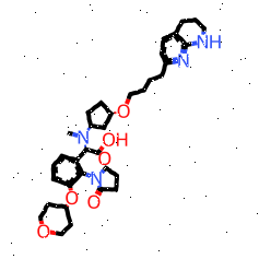 CN([C@H]1CC[C@H](OCCCCc2ccc3c(n2)NCCC3)C1)[C@H](C(=O)O)c1cccc(OC2CCOCC2)c1N1CCCC1=O